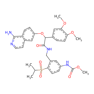 COC(=O)Nc1ccc(S(=O)(=O)C(C)C)c(CNC(=O)C(Oc2ccc3c(N)nccc3c2)c2ccc(OC)c(OC)c2)c1